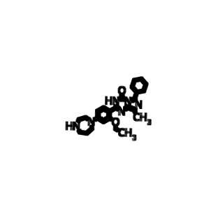 CCOc1cc(N2CCCNCC2)ccc1-c1nc2c(C)nc(C3CCCCC3)n2c(=O)[nH]1